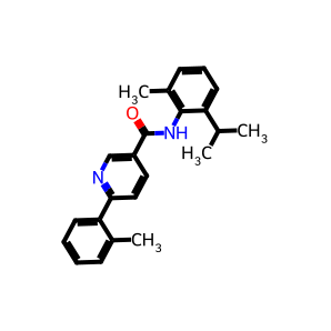 Cc1ccccc1-c1ccc(C(=O)Nc2c(C)cccc2C(C)C)cn1